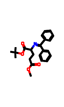 COC(=O)CCC(N=C(c1ccccc1)c1ccccc1)C(=O)OC(C)(C)C